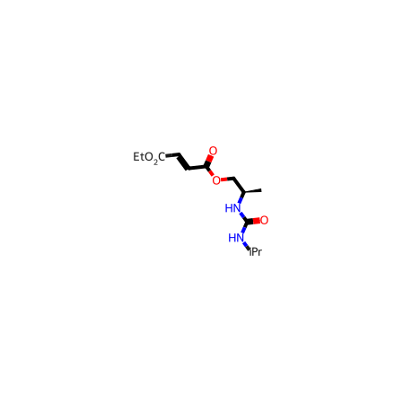 CCOC(=O)/C=C/C(=O)OC[C@@H](C)NC(=O)NC(C)C